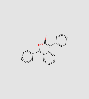 O=c1oc(-c2ccccc2)c2ccccc2c1-c1ccccc1